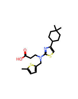 Cc1ccc(CN(CCC(=O)O)c2nc(C3CCC(C)(C)CC3)cs2)s1